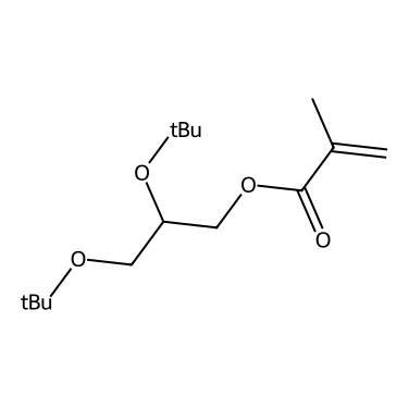 C=C(C)C(=O)OCC(COC(C)(C)C)OC(C)(C)C